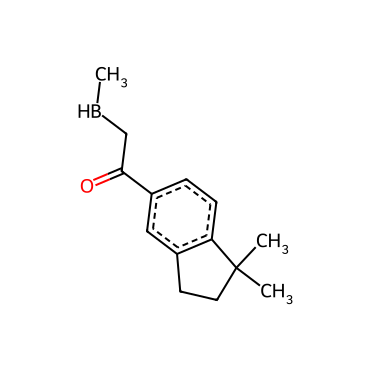 CBCC(=O)c1ccc2c(c1)CCC2(C)C